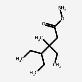 BOC(=O)CC(C)(CC)C(CC)CC